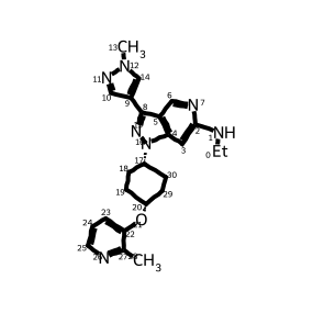 CCNc1cc2c(cn1)c(-c1cnn(C)c1)nn2[C@H]1CC[C@@H](Oc2cccnc2C)CC1